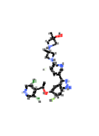 C[C@@H](Oc1cc2c(-c3cnc(N4CC(C)(N5CC(C)(O)C5)C4)c(F)c3)n[nH]c2cc1F)c1c(Cl)cncc1Cl